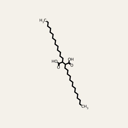 CCCCCCCCCCCCCCC(C(=O)O)C(CCCCCCCCCCCCCC)C(=O)O